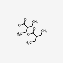 CCC(CC)C(=O)[O-].CCC(CC)C(=O)[O-].[Co+2]